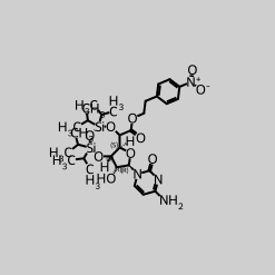 CC(C)[Si]1(C(C)C)OC(C(=O)OCCc2ccc([N+](=O)[O-])cc2)[C@H]2O[C@@H](n3ccc(N)nc3=O)[C@H](O)[C@@H]2O[Si](C(C)C)(C(C)C)O1